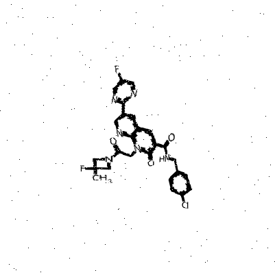 CC1(F)CN(C(=O)Cn2c(=O)c(C(=O)NCc3ccc(Cl)cc3)cc3cc(-c4ncc(F)cn4)cnc32)C1